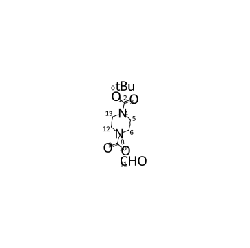 CC(C)(C)OC(=O)N1CCN(C(=O)OC=O)CC1